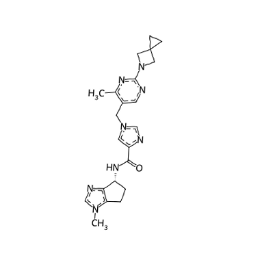 Cc1nc(N2CC3(CC3)C2)ncc1Cn1cnc(C(=O)N[C@@H]2CCc3c2ncn3C)c1